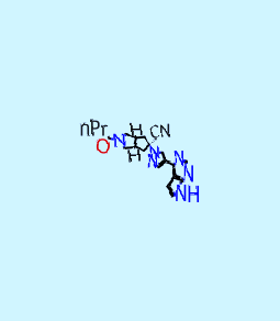 CCCC(=O)N1C[C@@H]2C[C@](CC#N)(n3cc(-c4ncnc5[nH]ccc45)cn3)C[C@@H]2C1